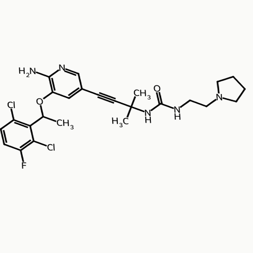 CC(Oc1cc(C#CC(C)(C)NC(=O)NCCN2CCCC2)cnc1N)c1c(Cl)ccc(F)c1Cl